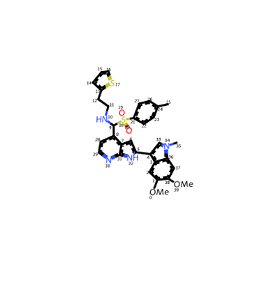 COc1cc2c(-c3cc4c(C(NCCc5cccs5)S(=O)(=O)c5ccc(C)cc5)ccnc4[nH]3)cn(C)c2cc1OC